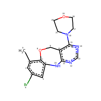 Cc1cc(Br)cc2c1OCc1c(ncnc1N1CCOCC1)N2